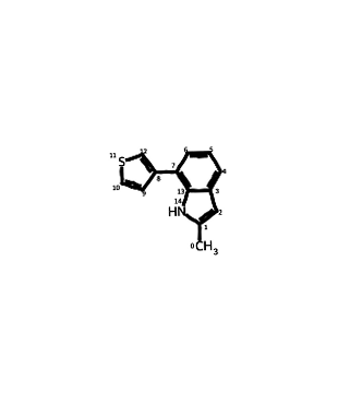 Cc1cc2cccc(-c3ccsc3)c2[nH]1